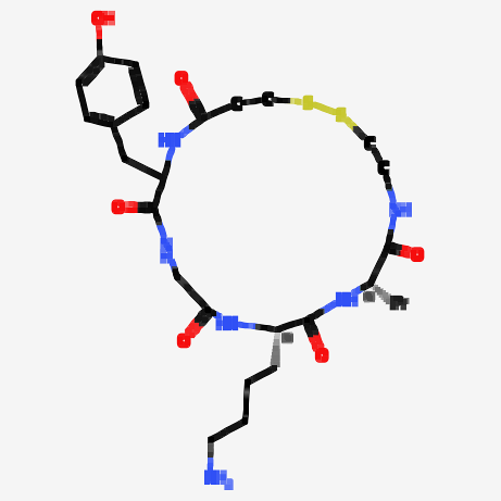 CC(C)[C@@H]1NC(=O)[C@H](CCCCN)NC(=O)CNC(=O)C(Cc2ccc(O)cc2)NC(=O)CCSSCCNC1=O